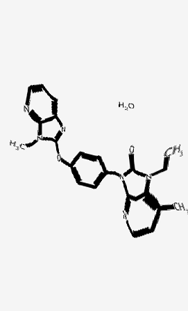 CCn1c(=O)n(-c2ccc(Oc3nc4cccnc4n3C)cc2)c2nccc(C)c21.O